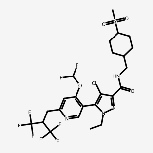 CCn1nc(C(=O)NCC2CCC(S(C)(=O)=O)CC2)c(Cl)c1-c1cnc(CC(C(F)(F)F)C(F)(F)F)cc1OC(F)F